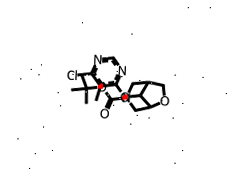 Cc1c(Cl)ncnc1OC1C2COC1CN(C(=O)OC(C)(C)C)C2